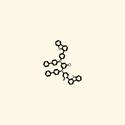 CC/C=C(\C=C/C(C)c1cccc2c1sc1ccccc12)N(c1ccc(-c2ccccc2)cc1)c1cc(Cl)cc(N(c2ccc(-c3ccccc3)cc2)c2ccc(-c3cccc4c3sc3ccccc34)cc2)c1